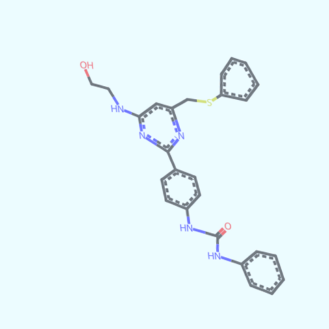 O=C(Nc1ccccc1)Nc1ccc(-c2nc(CSc3ccccc3)cc(NCCO)n2)cc1